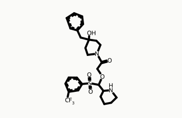 O=C(COC(C1CCCCN1)S(=O)(=O)c1cccc(C(F)(F)F)c1)N1CCC(O)(Cc2ccccc2)CC1